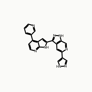 c1cncc(-c2ccnc3[nH]c(-c4n[nH]c5cnc(-c6cn[nH]c6)cc45)cc23)c1